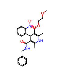 COCCOC(=O)C1=C(C)NC(C)=C(C(=O)NCc2ccccc2)C1c1ccccc1[N+](=O)[O-]